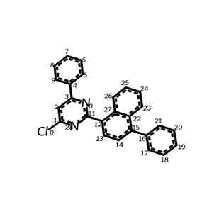 Clc1cc(-c2ccccc2)nc(-c2ccc(-c3ccccc3)c3ccccc23)n1